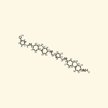 COc1ccc(/C=N/c2ccc3c(c2)Cc2cc(/N=C/c4ccc(/C=N/c5ccc6c(c5)Cc5cc(N)ccc5-6)s4)ccc2-3)s1